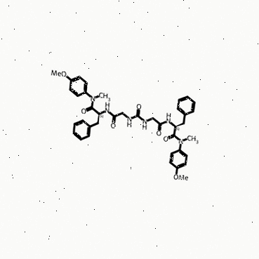 COc1ccc(N(C)C(=O)[C@H](Cc2ccccc2)NC(=O)CNC(=O)NCC(=O)N[C@@H](Cc2ccccc2)C(=O)N(C)c2ccc(OC)cc2)cc1